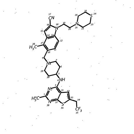 Cc1nc(NC2CCN(Cc3ccc4c(cc(C#N)n4CCN4CCSCC4)c3C)CC2)c2cc(CC(F)(F)F)sc2n1